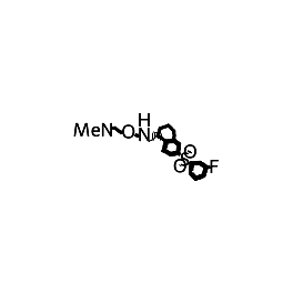 CNCCOCNC[C@@H]1CCCc2cc(S(=O)(=O)c3cccc(F)c3)ccc21